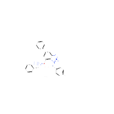 O=C(O)c1ccccc1CNC(=O)c1cc(-c2ccccc2)cc2nnn(Cc3ccc(C(F)(F)F)cc3)c12